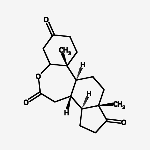 C[C@]12CCC(=O)CC1OC(=O)C[C@@H]1[C@@H]2CC[C@]2(C)C(=O)CC[C@@H]12